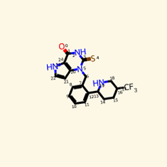 O=c1[nH]c(=S)n(Cc2ccccc2C2CCC(C(F)(F)F)CN2)c2cc[nH]c12